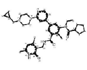 CCN(C(=O)C1CCCC1)c1cc(-c2ccnc(N3CCN(CC4CC4)CC3)c2)cc(C(=O)NCc2c(C)cc(C)[nH]c2=O)c1C